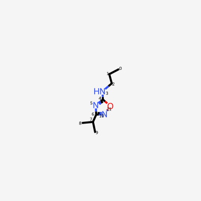 CCCNc1nc(C(C)C)no1